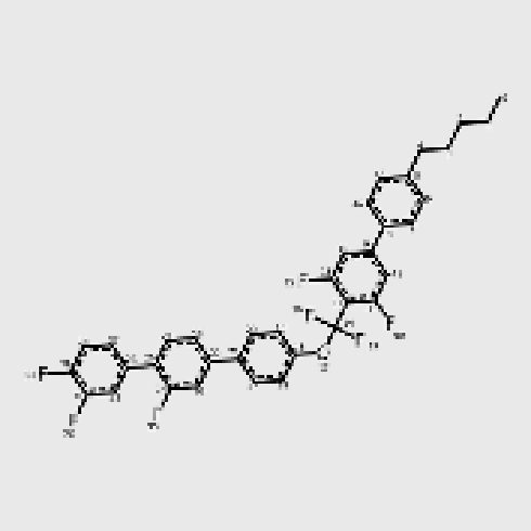 CCCCCc1ccc(-c2cc(F)c(C(F)(F)Oc3ccc(-c4ccc(-c5ccc(F)c(F)c5)c(F)c4)cc3)c(F)c2)cc1